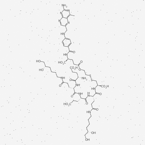 Cc1nc(N)nc2ncc(CNc3ccc(C(=O)N[C@@H](CCC(=O)OCCSSC[C@H](NC(=O)[C@H](CCC(=O)NCCCC[C@H](O)CO)NC(=O)[C@H](CCC(=O)O)NC(=O)[C@H](CCC(=O)NCCCC[C@H](O)CO)NC(=O)[C@@H](N)CCC(=O)O)C(=O)O)C(=O)O)cc3)nc12